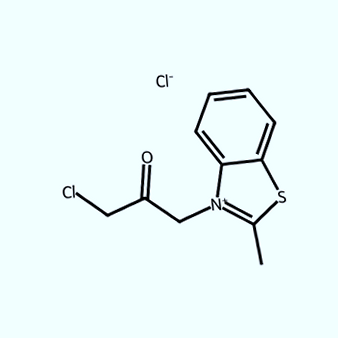 Cc1sc2ccccc2[n+]1CC(=O)CCl.[Cl-]